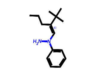 CCC/C(=C\N(N)c1ccccc1)C(C)(C)C